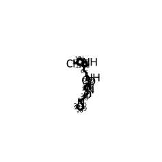 O=S(=O)(NCCCc1c[nH]c2ccc(Cl)cc12)c1ccc(OCCCN2CCCCC2)nc1